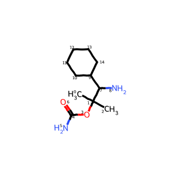 CC(C)(OC(N)=O)C(N)C1CCCCC1